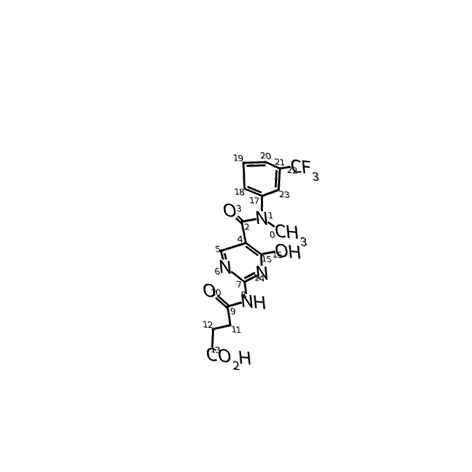 CN(C(=O)c1cnc(NC(=O)CCC(=O)O)nc1O)c1cccc(C(F)(F)F)c1